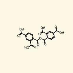 O=C(O)c1ccc(C(=O)OC(=O)c2ccc(C(=O)O)cc2C(=O)O)c(C(=O)O)c1